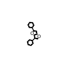 c1ccc(-c2cc3occ(-c4ccccc4)c3o2)cc1